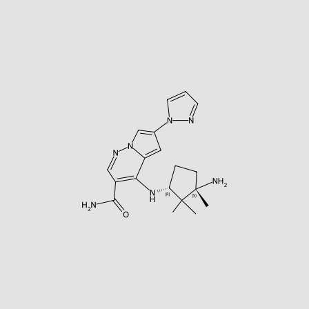 CC1(C)[C@H](Nc2c(C(N)=O)cnn3cc(-n4cccn4)cc23)CC[C@]1(C)N